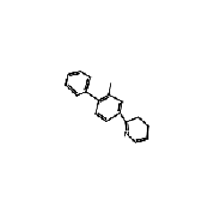 Cc1cc(C2=NC=CCC2)ccc1-c1ccccc1